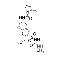 CCc1cc2c(cc1S(=O)(=O)NC(=O)NC)CC(NC(=O)N1CC=CC1=O)CO2